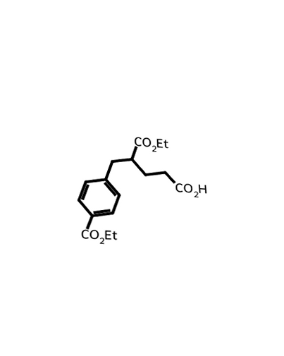 CCOC(=O)c1ccc(CC(CCC(=O)O)C(=O)OCC)cc1